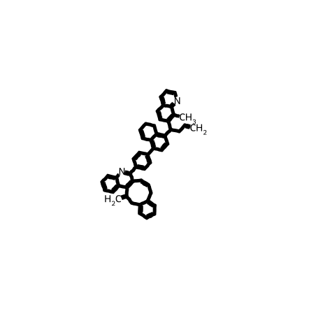 C=CCC(c1ccc(-c2ccc(-c3nc4ccccc4c4c3/C=C\Cc3ccccc3CC4=C)cc2)c2c1CCC=C2)c1ccc2cccnc2c1C